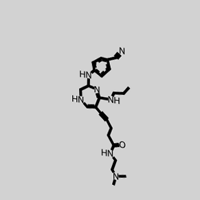 CCCNC1=NC(Nc2ccc(C#N)cc2)CNC=C1C#CCCC(=O)NCCN(C)C